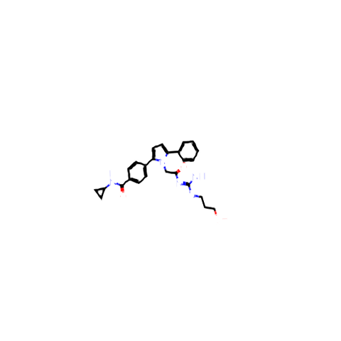 N/C(=N\C(=O)Cn1c(-c2ccccc2)ccc1-c1ccc(C(=O)NC2CC2)cc1)NCCCO